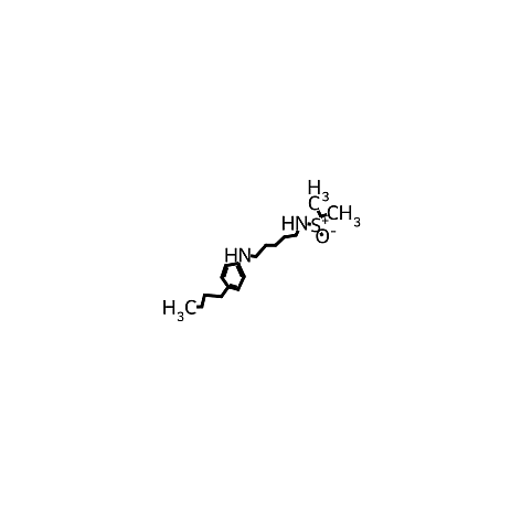 CCCCc1ccc(NCCCCCN[S+]([O-])C(C)C)cc1